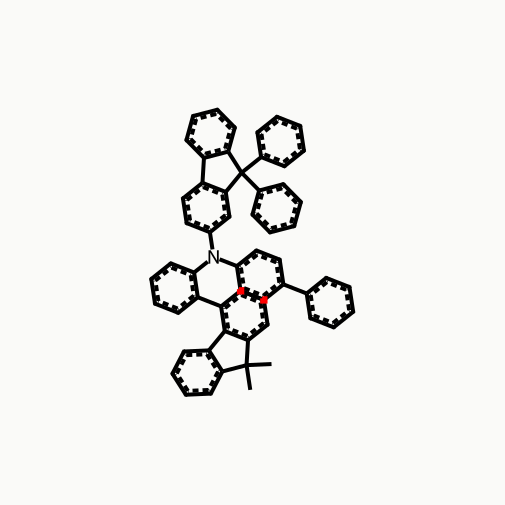 CC1(C)c2ccccc2-c2c(-c3ccccc3N(c3ccc(-c4ccccc4)cc3)c3ccc4c(c3)C(c3ccccc3)(c3ccccc3)c3ccccc3-4)cccc21